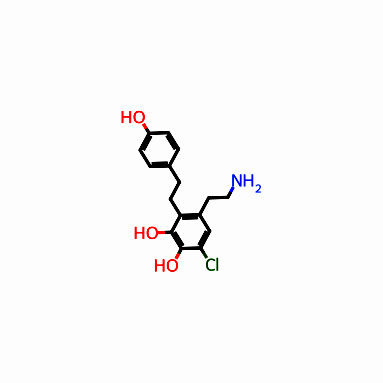 NCCc1cc(Cl)c(O)c(O)c1CCc1ccc(O)cc1